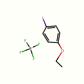 CCOc1ccc(I)cc1.F[B-](F)(F)F